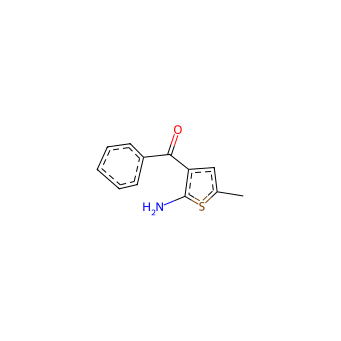 Cc1cc(C(=O)c2ccccc2)c(N)s1